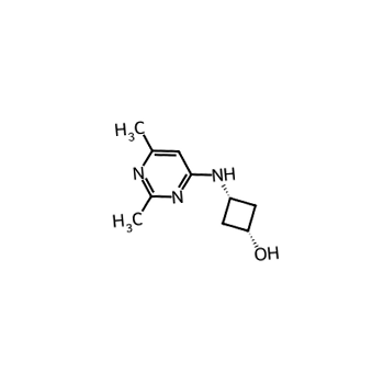 Cc1cc(N[C@H]2C[C@@H](O)C2)nc(C)n1